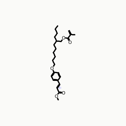 C=C(C)C(=O)OCC(CCCC)CCCCCCOc1ccc(/C=C/C(=O)OC)cc1